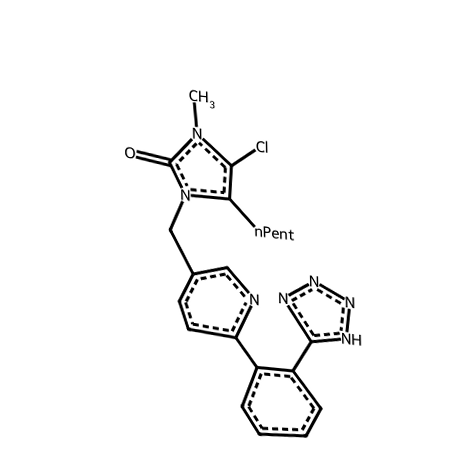 CCCCCc1c(Cl)n(C)c(=O)n1Cc1ccc(-c2ccccc2-c2nnn[nH]2)nc1